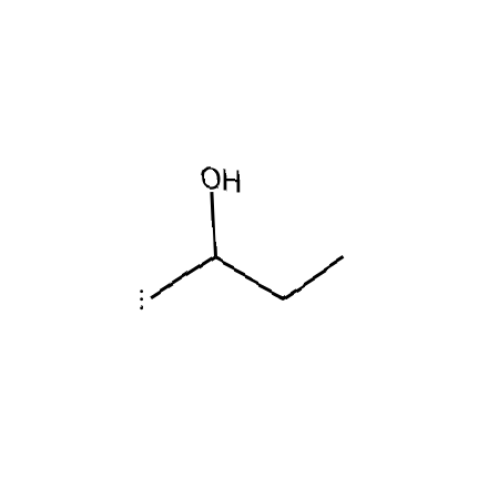 [C]C(O)CC